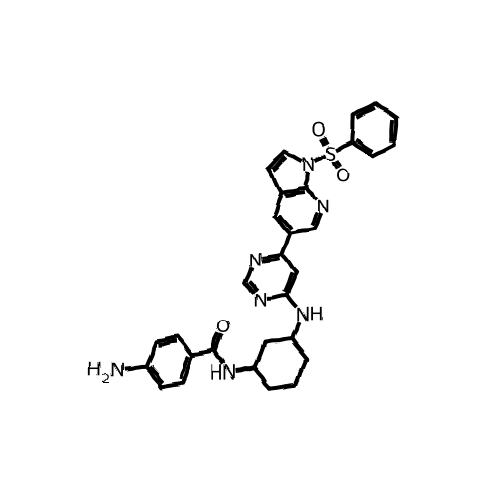 Nc1ccc(C(=O)NC2CCCC(Nc3cc(-c4cnc5c(ccn5S(=O)(=O)c5ccccc5)c4)ncn3)C2)cc1